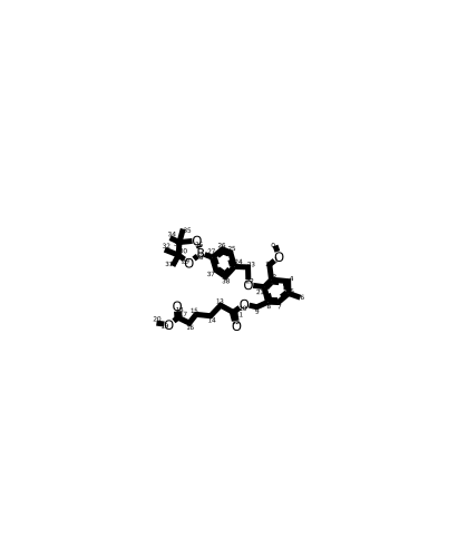 COCc1cc(C)cc(COC(=O)CCCCC(=O)OC)c1OCc1ccc(B2OC(C)(C)C(C)(C)O2)cc1